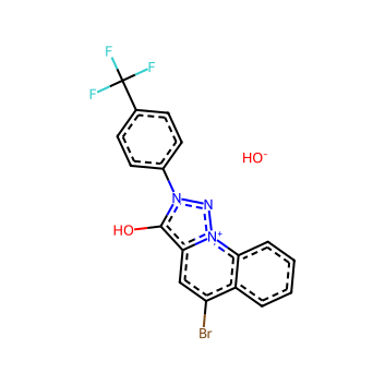 Oc1c2cc(Br)c3ccccc3[n+]2nn1-c1ccc(C(F)(F)F)cc1.[OH-]